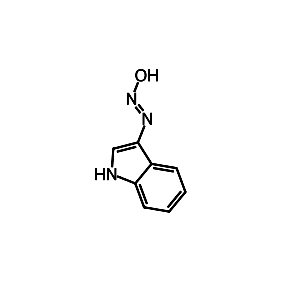 ON=Nc1c[nH]c2ccccc12